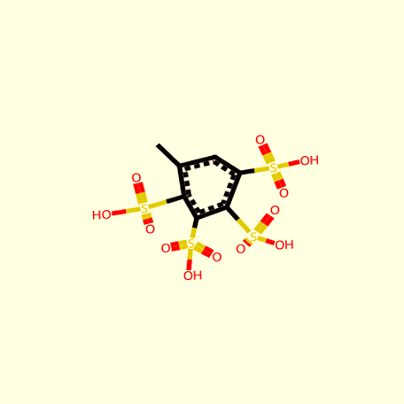 Cc1cc(S(=O)(=O)O)c(S(=O)(=O)O)c(S(=O)(=O)O)c1S(=O)(=O)O